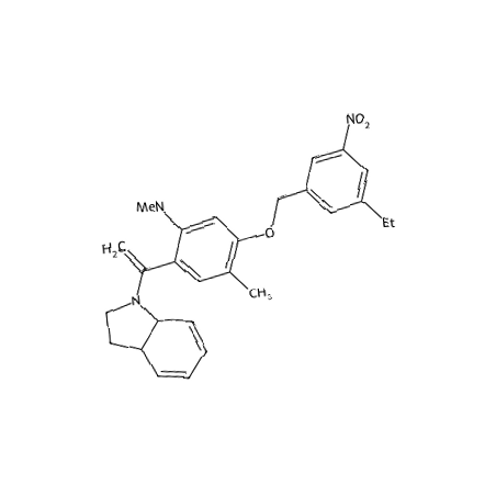 C=C(c1cc(C)c(OCc2cc(CC)cc([N+](=O)[O-])c2)cc1NC)N1CCC2C=CC=CC21